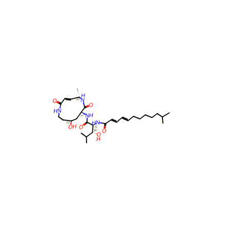 CC(C)CCCCC/C=C/C=C/C(=O)N[C@H](C(=O)N[C@H]1C[C@@H](O)CCNC(=O)/C=C/[C@H](C)NC1=O)[C@H](O)C(C)C